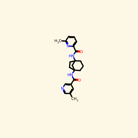 Cc1cncc(C(=O)NC23CCCC(NC(=O)c4cccc(C)n4)(CC2)C3)c1